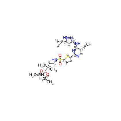 C#Cc1cnc(-c2ccc(S(=O)(=O)NCCC(C)(C)C(O[SiH2]C)O[SiH2]C)s2)nc1Nc1cc(C2CC2)[nH]n1